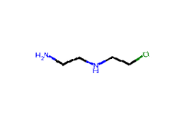 NCCNCCCl